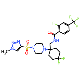 Cn1cc(S(=O)(=O)N2CCN(C3(CNC(=O)c4ccc(C(F)(F)F)cc4F)CCC(F)(F)CC3)CC2)nn1